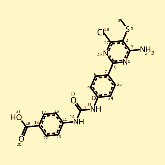 CSc1c(N)nc(-c2ccc(NC(=O)Nc3ccc(C(=O)O)cc3)cc2)nc1Cl